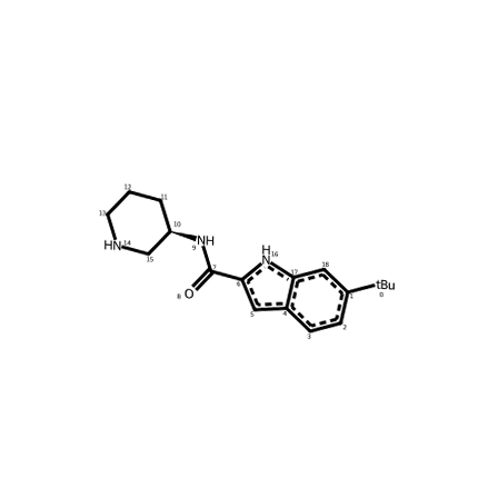 CC(C)(C)c1ccc2cc(C(=O)N[C@@H]3CCCNC3)[nH]c2c1